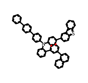 c1ccc(-c2ccc(-c3ccc(N(c4ccc(-c5ccc6sc7ccccc7c6c5)cc4)c4ccccc4-c4cccc(-c5cccc6ccccc56)c4)cc3)cc2)cc1